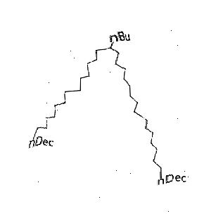 [CH2]CCCC(CCCCCCCCCCCCCCCCCCCCCCC)CCCCCCCCCCCCCCCCCCCCCCCCC